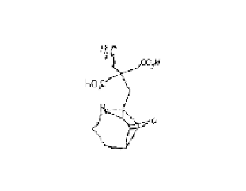 CC(CC1C(=O)C2CCN1CC2)(C(=O)O)C(=O)O